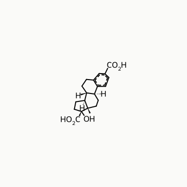 C[C@]12CC[C@@H]3c4ccc(C(=O)O)cc4CC[C@H]3[C@@H]1CC[C@]2(O)C(=O)O